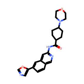 O=C(Nc1cc2cc(-c3cnco3)ccc2cn1)C1CCC(N2CCOCC2)CC1